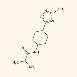 Cc1noc(C2CCC(NC(=O)C(C)N)CC2)n1